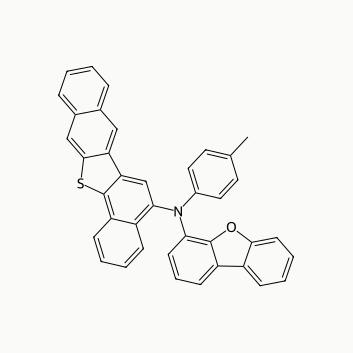 Cc1ccc(N(c2cc3c4cc5ccccc5cc4sc3c3ccccc23)c2cccc3c2oc2ccccc23)cc1